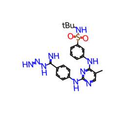 Cc1cnc(Nc2ccc(C(=N)NN=N)cc2)nc1Nc1cccc(S(=O)(=O)NC(C)(C)C)c1